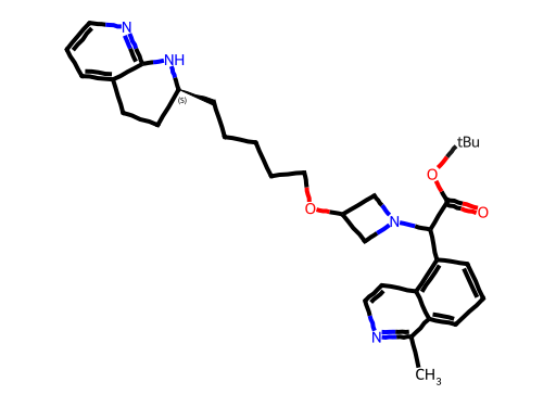 Cc1nccc2c(C(C(=O)OC(C)(C)C)N3CC(OCCCCC[C@H]4CCc5cccnc5N4)C3)cccc12